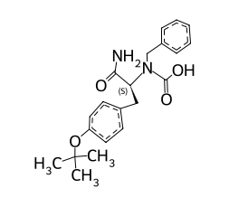 CC(C)(C)Oc1ccc(C[C@@H](C(N)=O)N(Cc2ccccc2)C(=O)O)cc1